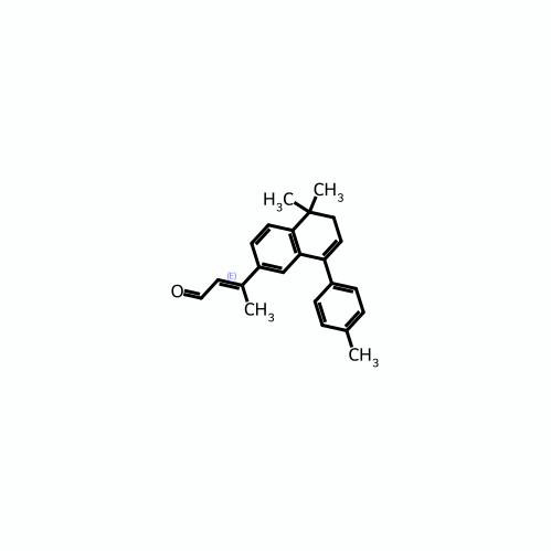 C/C(=C\C=O)c1ccc2c(c1)C(c1ccc(C)cc1)=CCC2(C)C